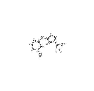 CC(=O)c1ccc(Sc2cccc(Cl)c2)s1